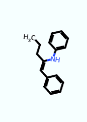 CCCC(=Cc1ccccc1)Nc1ccccc1